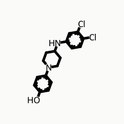 Oc1ccc(N2CCC(Nc3ccc(Cl)c(Cl)c3)CC2)cc1